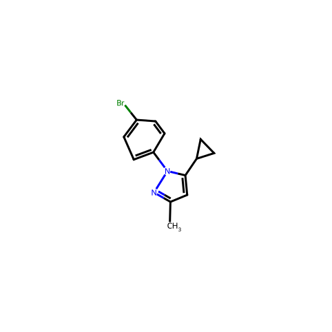 Cc1cc(C2CC2)n(-c2ccc(Br)cc2)n1